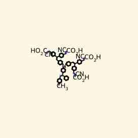 Cc1ccc(/C=C(\c2ccccc2)c2ccc(N(c3ccc(C=C(c4ccc(/C=C(\C#N)C(=O)O)cc4)c4ccc(/C=C(\C#N)C(=O)O)cc4)cc3)c3ccc(C=C(c4ccc(/C=C(\C#N)C(=O)O)cc4)c4ccc(/C=C(\C#N)C(=O)O)cc4)cc3)cc2)cc1